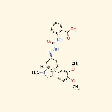 COc1ccc([C@@]23CCC(=NNC(=O)Nc4ccccc4C(=O)O)C[C@@H]2N(C)CC3)cc1OC